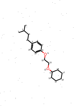 CC(C)CCc1ccc(OCCOC2CCCCC2)cc1